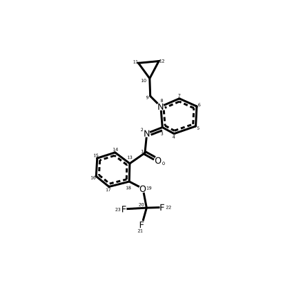 O=C(/N=c1\ccccn1CC1CC1)c1ccccc1OC(F)(F)F